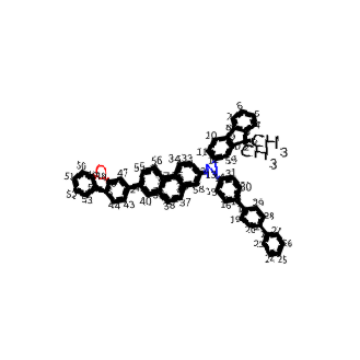 CC1(C)c2ccccc2-c2ccc(N(c3ccc(-c4ccc(-c5ccccc5)cc4)cc3)c3ccc4c(ccc5cc(-c6ccc7c(c6)oc6ccccc67)ccc54)c3)cc21